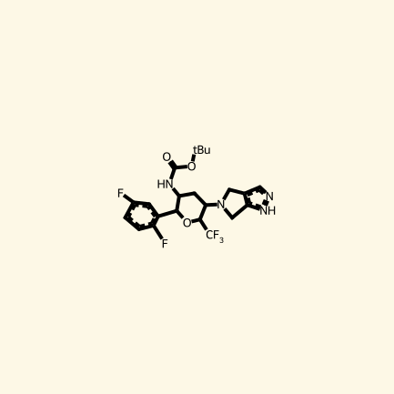 CC(C)(C)OC(=O)NC1CC(N2Cc3cn[nH]c3C2)C(C(F)(F)F)OC1c1cc(F)ccc1F